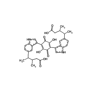 CC(CC(=O)O)C(C)c1ccc2[nH]cc(C3=C(O)C(=O)C(c4c[nH]c5ccc(C(C)C(C)CC(=O)O)cc45)=C(O)C3=O)c2c1